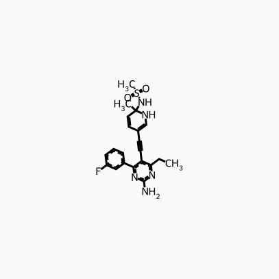 CCc1nc(N)nc(-c2cccc(F)c2)c1C#CC1=CNC(C)(NS(C)(=O)=O)C=C1